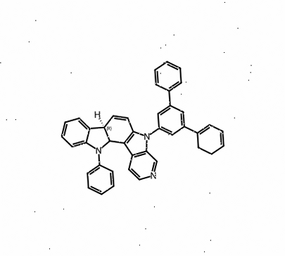 C1=CCCC(c2cc(-c3ccccc3)cc(-n3c4c(c5ccncc53)C3[C@H](C=C4)c4ccccc4N3c3ccccc3)c2)=C1